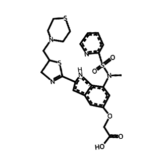 CN(c1cc(OCC(=O)O)cc2cc(C3=NCC(CN4CCSCC4)S3)[nH]c12)S(=O)(=O)c1ccccn1